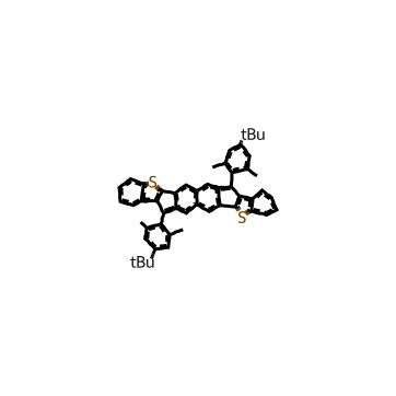 Cc1cc(C(C)(C)C)cc(C)c1C1=c2cc3cc4c(cc3cc2-c2sc3ccccc3c21)=C(c1c(C)cc(C(C)(C)C)cc1C)c1c-4sc2ccccc12